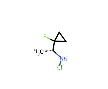 C[C@@H](NCl)C1(F)CC1